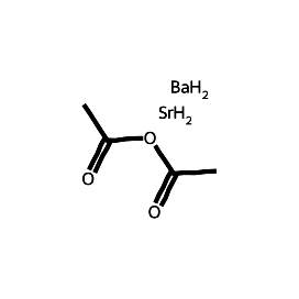 CC(=O)OC(C)=O.[BaH2].[SrH2]